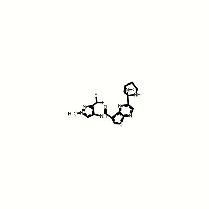 Cn1cc(NC(=O)c2csc3ncc(N4CC5CCC4CN5)nc23)c(C(F)F)n1